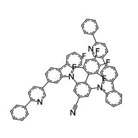 N#Cc1cc(-n2c3ccccc3c3ccc(-c4ccc(-c5ccccc5)nc4)cc32)c(-c2c(F)c(F)c(F)c(F)c2F)c(-n2c3ccccc3c3ccc(-c4ccc(-c5ccccc5)nc4)cc32)c1